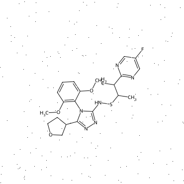 COc1cccc(OC)c1-n1c(NSC(C)C(C)c2ncc(F)cn2)nnc1C1CCOC1